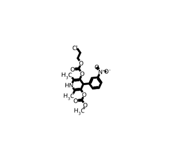 COC(=O)OC1=C(C)NC(C)=C(OC(=O)OCCCl)C1c1cccc([N+](=O)[O-])c1